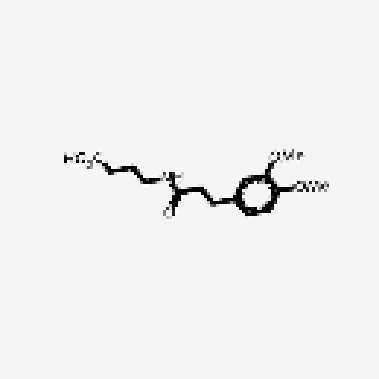 COc1ccc(CCC(=O)NCCCC(=O)O)cc1OC